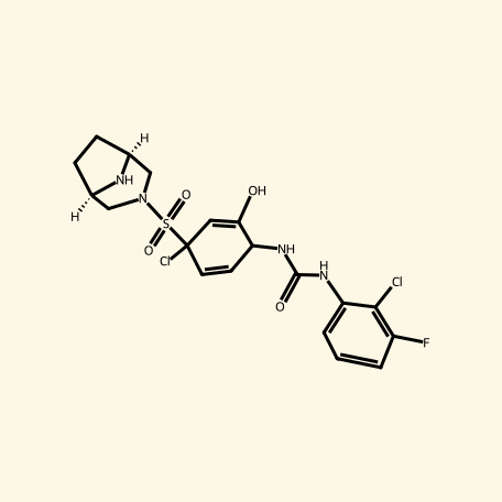 O=C(Nc1cccc(F)c1Cl)NC1C=CC(Cl)(S(=O)(=O)N2C[C@H]3CC[C@@H](C2)N3)C=C1O